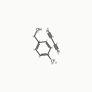 N#CC#N.OCc1ccc(C(F)(F)F)cc1